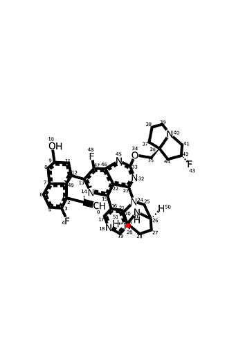 C#Cc1c(F)ccc2cc(O)cc(-c3nc(-c4cncnc4)c4c(N5C[C@H]6CC[C@@H](C5)N6)nc(OC[C@@]56CCCN5C[C@H](F)C6)nc4c3F)c12